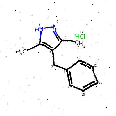 Cc1n[nH]c(C)c1Cc1ccccc1.Cl